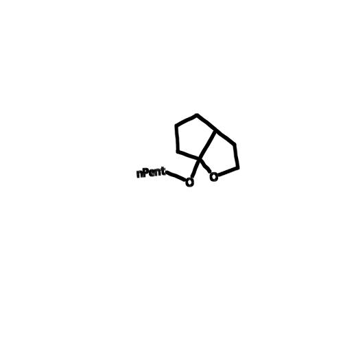 CCCCCOC12CCCC1CCO2